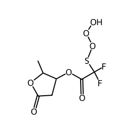 CC1OC(=O)CC1OC(=O)C(F)(F)SOOO